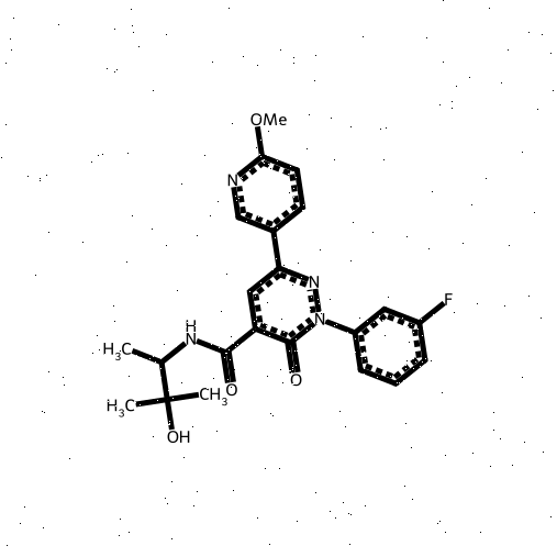 COc1ccc(-c2cc(C(=O)NC(C)C(C)(C)O)c(=O)n(-c3cccc(F)c3)n2)cn1